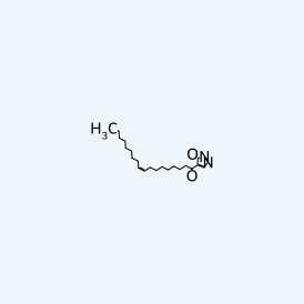 CCCCCCCC/C=C\CCCCCCCC(=O)C1=CN=NC1=O